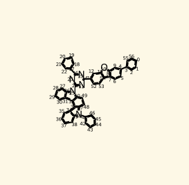 c1ccc(-c2ccc3c(c2)oc2cc(-c4nc(-c5ccccc5)nc(-n5c6ccccc6c6c7c8ccccc8n(-c8ccccc8)c7ccc65)n4)ccc23)cc1